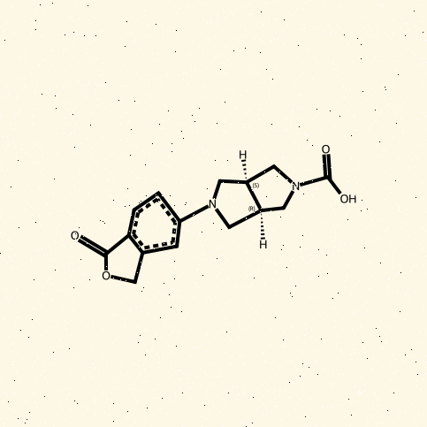 O=C1OCc2cc(N3C[C@H]4CN(C(=O)O)C[C@H]4C3)ccc21